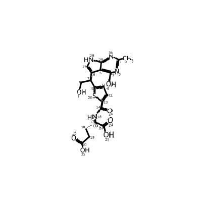 Cc1nc(O)c2c(C(CO)c3ccc(C(=O)N[C@@H](CCC(=O)O)C(=O)O)s3)c[nH]c2n1